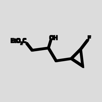 CCOC(=O)CC(O)CC1CC1F